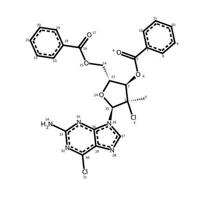 C[C@@]1(Cl)[C@H](OC(=O)c2ccccc2)[C@@H](COC(=O)c2ccccc2)O[C@@H]1n1cnc2c(Cl)nc(N)nc21